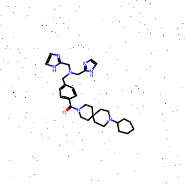 O=C(c1ccc(CN(Cc2ncc[nH]2)Cc2ncc[nH]2)cc1)N1CCC2(CC1)CCN(C1CCCCC1)CC2